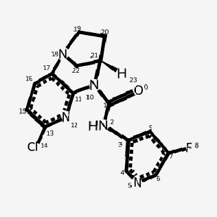 O=C(Nc1cncc(F)c1)N1c2nc(Cl)ccc2N2CC[C@H]1C2